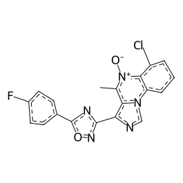 Cc1c2c(-c3noc(-c4ccc(F)cc4)n3)ncn2c2cccc(Cl)c2[n+]1[O-]